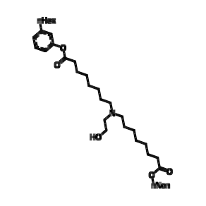 CCCCCCCCCOC(=O)CCCCCCCN(CCO)CCCCCCCC(=O)Oc1cccc(CCCCCC)c1